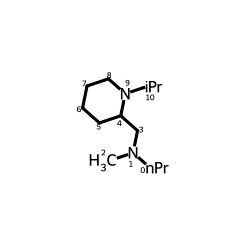 CCCN(C)CC1CCCCN1C(C)C